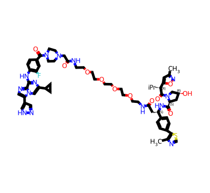 Cc1cc([C@H](C(=O)N2C[C@H](O)C[C@H]2C(=O)N[C@@H](CC(=O)NCCOCCOCCOCCOCCNC(=O)CN2CCN(C(=O)c3ccc(Nc4nc(C5CC5)cn5c(-c6cn[nH]c6)cnc45)c(F)c3)CC2)c2ccc(-c3scnc3C)cc2)C(C)C)on1